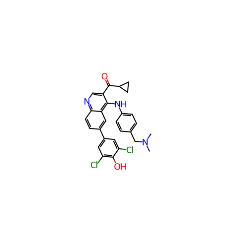 CN(C)Cc1ccc(Nc2c(C(=O)C3CC3)cnc3ccc(-c4cc(Cl)c(O)c(Cl)c4)cc23)cc1